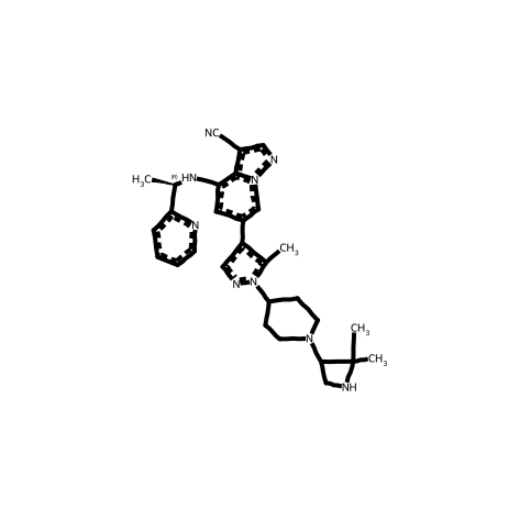 Cc1c(-c2cc(N[C@H](C)c3ccccn3)c3c(C#N)cnn3c2)cnn1C1CCN(C2CNC2(C)C)CC1